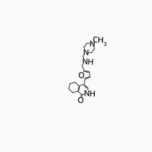 CN1CCN(CNCc2ccc(-c3c[nH]c(=O)c4c3CCCC4)o2)CC1